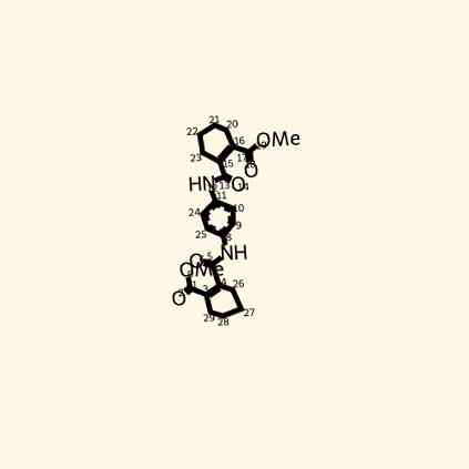 COC(=O)C1=C(C(=O)Nc2ccc(NC(=O)C3=C(C(=O)OC)CCCC3)cc2)CCCC1